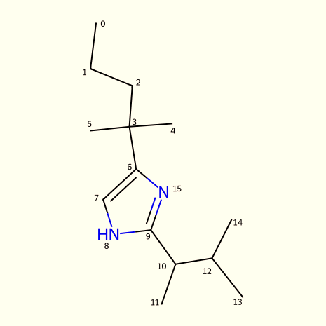 CCCC(C)(C)c1c[nH]c(C(C)C(C)C)n1